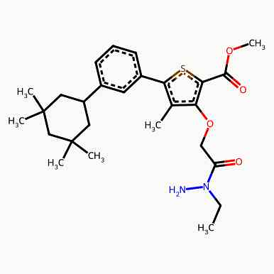 CCN(N)C(=O)COc1c(C(=O)OC)sc(-c2cccc(C3CC(C)(C)CC(C)(C)C3)c2)c1C